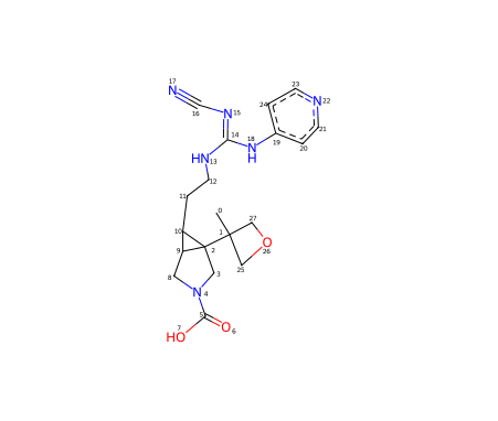 CC1(C23CN(C(=O)O)CC2C3CCN/C(=N\C#N)Nc2ccncc2)COC1